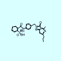 CCCc1cc2nn(Cc3ccc(NC(=O)c4ccccc4S(=O)(=O)O)cc3)c(=O)n2c(C)n1